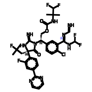 CC(C)(F)C[C@]1(c2ccc(-c3ncccn3)cc2F)NC(=N)N([C@H](COC(=O)NC(C)(C)C(F)F)c2ccc(Cl)c(/C(=N/C=N)NC(F)F)c2)C1=O